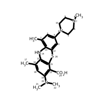 Cc1cc(N2CCN(C)CC2)cc2c1Nc1c(C)cc(N(C)C)c(C(=O)O)c1S2